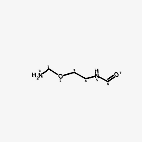 NCOCCNC=O